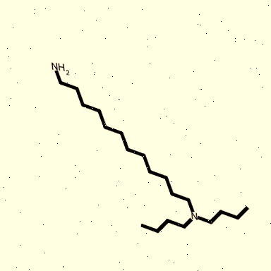 CCCCN(CCCC)CCCCCCCCCCCCN